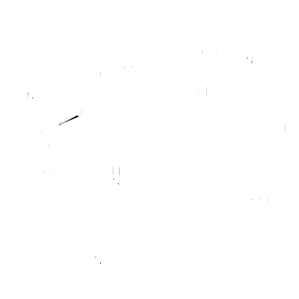 COc1ccc([C@H](Cc2c(Cl)c[n+]([O-])cc2Cl)c2cc(CNC(C(=O)O[C@H]3CN4CCC3CC4)c3cccnc3)ccc2C(=O)O)cc1OC